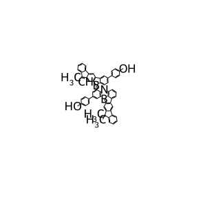 CC1(C)c2ccccc2-c2cc3c(cc21)B1c2cc(-c4ccc(O)cc4)cc4c2N(c2cccc-3c21)c1cc(-c2ccc(O)cc2)cc2c1B4c1cc3c(cc1-2)-c1ccccc1C3(C)C